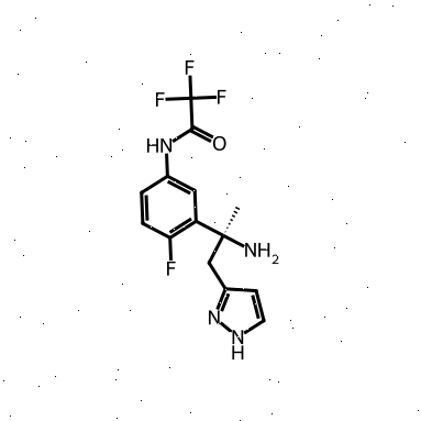 C[C@](N)(Cc1cc[nH]n1)c1cc(NC(=O)C(F)(F)F)ccc1F